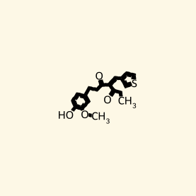 CCC(=O)C(=Cc1ccsc1)C(=O)CCc1ccc(O)c(OC)c1